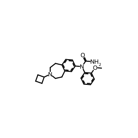 COc1ccccc1N(C(N)=O)c1ccc2c(c1)CCN(C1CCC1)CC2